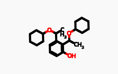 CC(OC1CCCCC1)c1cccc(O)c1C(C)OC1CCCCC1